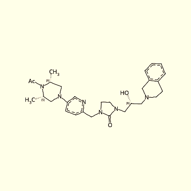 CC(=O)N1[C@H](C)CN(c2ccc(CN3CCN(C[C@H](O)CN4CCc5ccccc5C4)C3=O)nc2)C[C@@H]1C